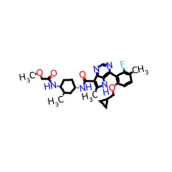 COCC(=O)N[C@@H]1CC[C@H](NC(=O)c2c(C)[nH]c3c(-c4c(OCC5CC5)ccc(C)c4F)ncnc23)C[C@H]1C